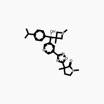 CC(C)c1ccc([C@](O)(c2cncc(-c3noc(C4(C)CCN(C)C4=O)n3)c2)C2(C)CN(C)C2)cc1